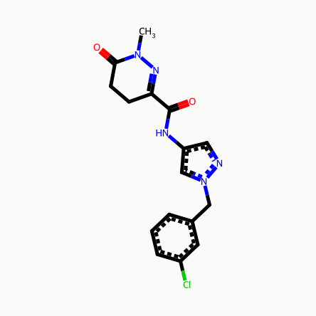 CN1N=C(C(=O)Nc2cnn(Cc3cccc(Cl)c3)c2)CCC1=O